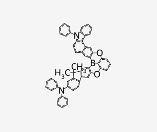 CC1(C)c2cc(N(c3ccccc3)c3ccccc3)ccc2-c2cc3c(cc21)B1c2cc4ccc5c(c4cc2Oc2cccc(c21)O3)c1ccccc1n5-c1ccccc1